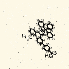 Cc1cccc(-c2nn(C(c3ccccc3)(c3ccccc3)c3ccccc3)cc2-c2ccnc(-c3ccc(C(=O)O)cc3)c2)n1